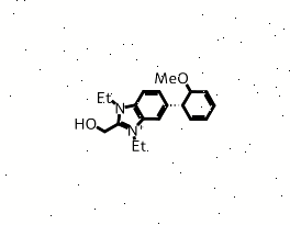 CCn1c(CO)[n+](CC)c2cc([C@H]3C=CC=CC3OC)ccc21